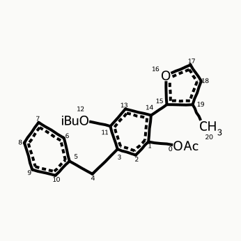 CC(=O)Oc1cc(Cc2ccccc2)c(OCC(C)C)cc1-c1occc1C